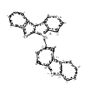 c1ccc2c(c1)oc1c2c2cnccc2n1-c1ccc2sc3ccccc3c2c1